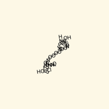 C=CC(=O)N1CCN(c2nc(O[C@H](C)CN3CCC(OCCOCCOCCOCCOCCOc4cc([C@H](C(=O)N5C[C@H](O)C[C@H]5C(=O)N[C@@H](C)c5ccc(-c6scnc6C)cc5)C(C)C)on4)CC3)nc3c(F)c(-c4cc(O)cc5ccccc45)c(Cl)cc23)CC1